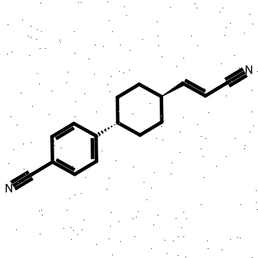 N#C/C=C/[C@H]1CC[C@H](c2ccc(C#N)cc2)CC1